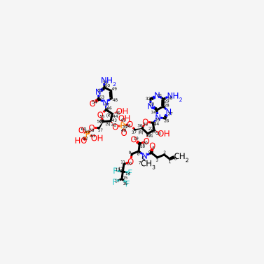 C=CCCC(=O)N(C)C(COCC(F)(F)C(F)F)C(=O)O[C@H]1[C@@H](O)[C@H](n2cnc3c(N)ncnc32)O[C@@H]1COP(=O)(O)O[C@H]1[C@@H](O)[C@H](n2ccc(N)nc2=O)O[C@@H]1COP(=O)(O)O